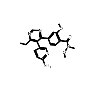 CCc1ncnc(-c2ccc(C(=O)N(C)OC)c(OC)c2)c1-c1ccc(N)nc1